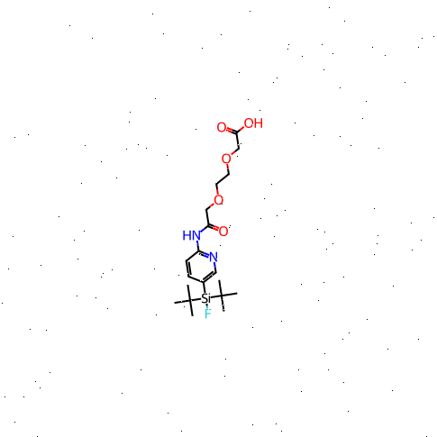 CC(C)(C)[Si](F)(c1ccc(NC(=O)COCCOCC(=O)O)nc1)C(C)(C)C